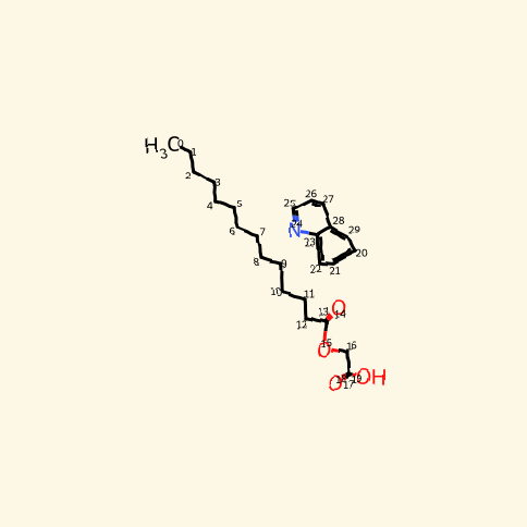 CCCCCCCCCCCCCC(=O)OCC(=O)O.c1ccc2ncccc2c1